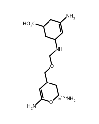 NC1=CC(NCOCC2C=C(N)O[C@@H](N)C2)CC(C(=O)O)C1